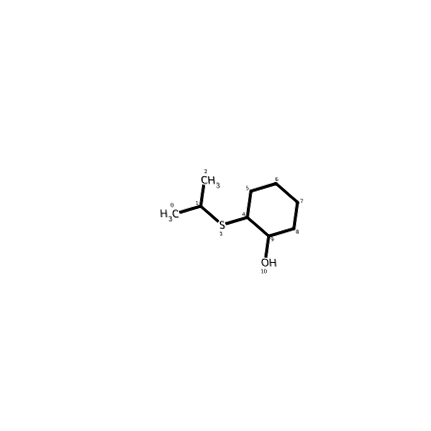 CC(C)SC1CCCCC1O